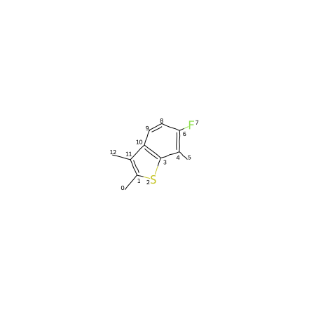 Cc1sc2c(C)c(F)ccc2c1C